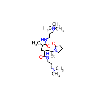 CCC(CC(CC(C)C(=O)NCCC[N+](C)(C)C)C(=O)NCCCN(C)C)N1CCCC1=O